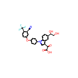 N#Cc1cc(Oc2ccc(-n3cc(C(=O)C(=O)O)c4cc([C@@H](O)CO)ccc43)cc2)ccc1C(F)(F)F